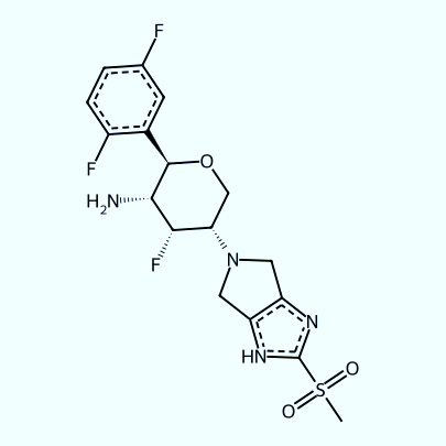 CS(=O)(=O)c1nc2c([nH]1)CN([C@H]1CO[C@H](c3cc(F)ccc3F)[C@@H](N)[C@H]1F)C2